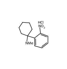 CNC1(c2ccccc2[N+](=O)[O-])CCCCC1.Cl